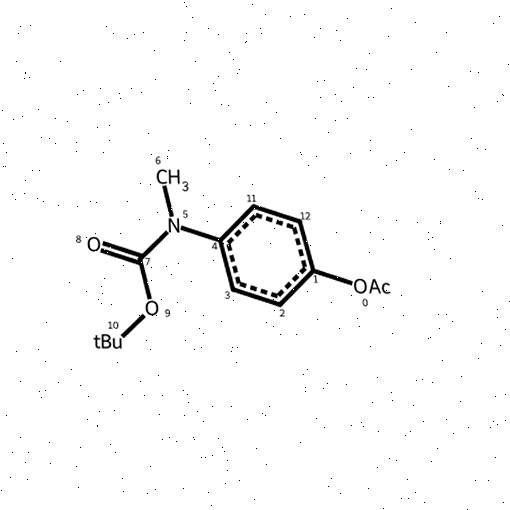 CC(=O)Oc1ccc(N(C)C(=O)OC(C)(C)C)cc1